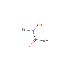 [CH2]CCC(=O)N(O)CC